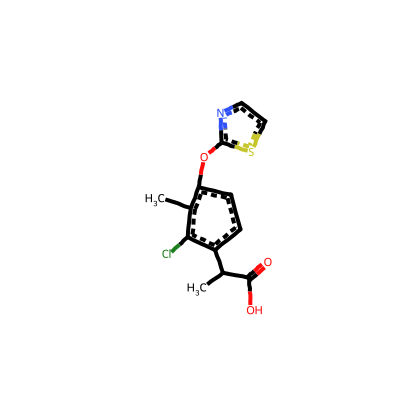 Cc1c(Oc2nccs2)ccc(C(C)C(=O)O)c1Cl